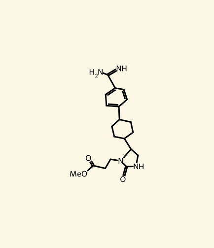 COC(=O)CCN1C(=O)NCC1C1CCC(c2ccc(C(=N)N)cc2)CC1